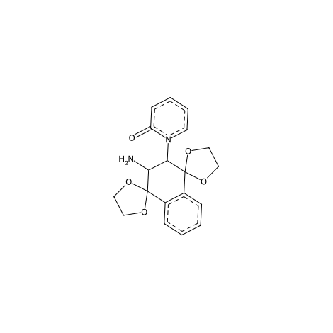 NC1C(n2ccccc2=O)C2(OCCO2)c2ccccc2C12OCCO2